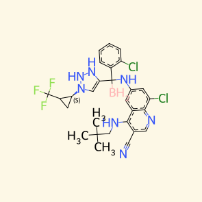 BC(Nc1cc(Cl)c2ncc(C#N)c(NCC(C)(C)C)c2c1)(C1=CN([C@H]2CC2C(F)(F)F)NN1)c1ccccc1Cl